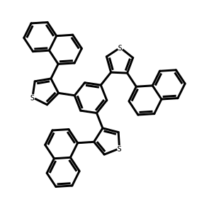 c1ccc2c(-c3cscc3-c3cc(-c4cscc4-c4cccc5ccccc45)cc(-c4cscc4-c4cccc5ccccc45)c3)cccc2c1